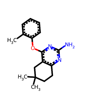 Cc1ccccc1Oc1nc(N)nc2c1CC(C)(C)CC2